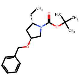 CC[C@H]1C[C@H](OCc2ccccc2)CN1C(=O)OC(C)(C)C